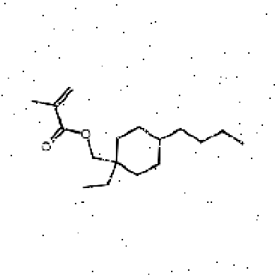 C=C(C)C(=O)OCC1(CC)CCC(CCCC)CC1